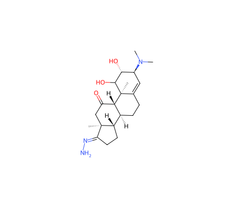 CN(C)[C@H]1C=C2CC[C@H]3[C@@H]4CCC(=NN)[C@@]4(C)CC(=O)[C@@H]3[C@@]2(C)C(O)[C@@H]1O